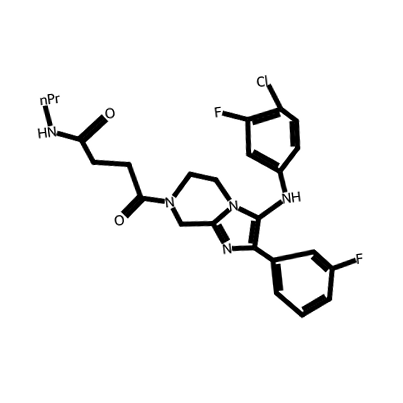 CCCNC(=O)CCC(=O)N1CCn2c(nc(-c3cccc(F)c3)c2Nc2ccc(Cl)c(F)c2)C1